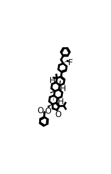 CC(C)C1=C2[C@H]3CC[C@@H]4[C@@]5(C)CC=C(C6=CC[C@](CF)(Cc7ccccc7)CC6)C(C)(C)[C@@H]5CC[C@@]4(C)[C@]3(C)CC[C@@]2(COC(=O)c2ccccc2)CC1=O